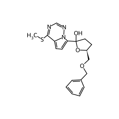 CSc1ncnn2c(C3(O)CC[C@@H](COCc4ccccc4)O3)ccc12